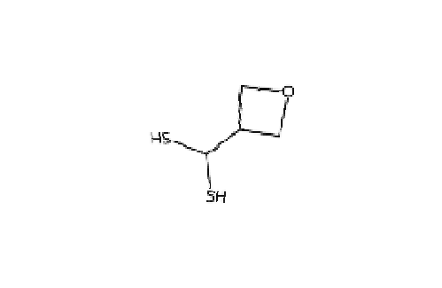 SC(S)C1COC1